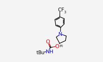 CC(C)(C)NC(=O)O[C@@H]1CCN(c2ccc(C(F)(F)F)cc2)C1